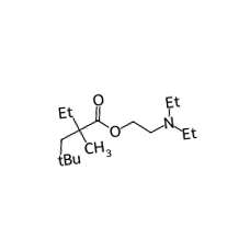 CCN(CC)CCOC(=O)C(C)(CC)CC(C)(C)C